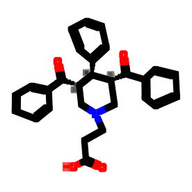 O=C(O)CCN1C[C@H](C(=O)c2ccccc2)[C@H](c2ccccc2)[C@H](C(=O)c2ccccc2)C1